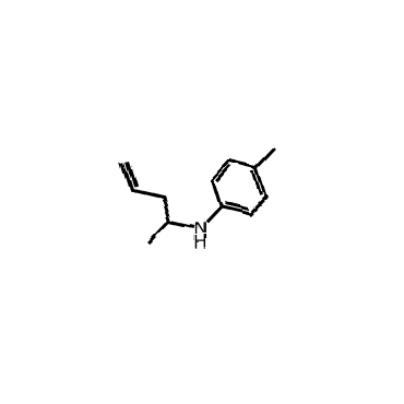 C=CCC(C)Nc1ccc(C)cc1